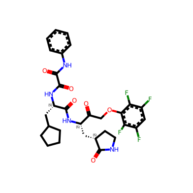 O=C(Nc1ccccc1)C(=O)N[C@@H](CC1CCCC1)C(=O)N[C@@H](C[C@@H]1CCNC1=O)C(=O)COc1c(F)c(F)cc(F)c1F